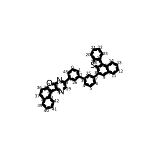 c1cc(-c2cccc(-c3cc4ccccc4c4c3sc3ccccc34)c2)cc(-c2cnc3c(n2)oc2ccc4ccccc4c23)c1